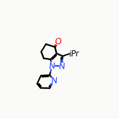 CC(C)c1nn(-c2ccccn2)c2c1C(=O)CCC2